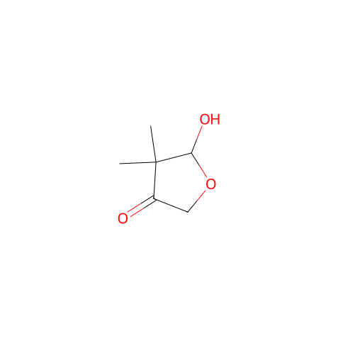 CC1(C)C(=O)COC1O